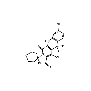 Cc1c2c(c(=O)n3c1C(=O)NC31CCCCC1)Nc1cc(N)ncc1C2(F)F